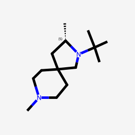 C[C@H]1CC2(CCN(C)CC2)CN1C(C)(C)C